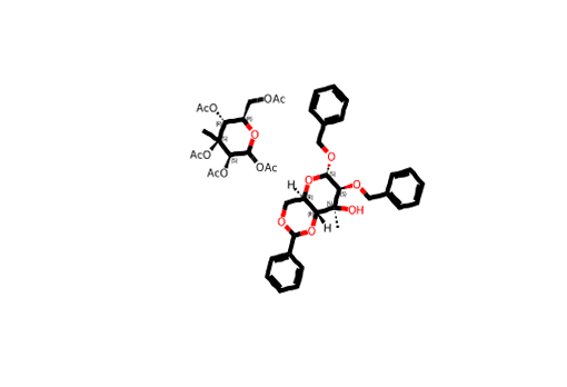 CC(=O)OC[C@H]1OC(OC(C)=O)[C@@H](OC(C)=O)[C@@](C)(OC(C)=O)[C@@H]1OC(C)=O.C[C@@]1(O)[C@H](OCc2ccccc2)[C@@H](OCc2ccccc2)O[C@@H]2COC(c3ccccc3)O[C@H]21